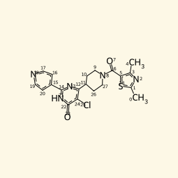 Cc1nc(C)c(C(=O)N2CCC(c3nc(-c4ccncc4)[nH]c(=O)c3Cl)CC2)s1